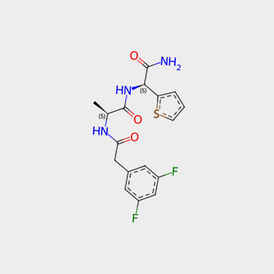 C[C@H](NC(=O)Cc1cc(F)cc(F)c1)C(=O)N[C@@H](C(N)=O)c1cccs1